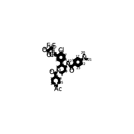 CC(=O)N1CCC(C(=O)N2CCC(N(C)C(=O)c3ccc(N(C)C)cc3)C(c3ccc(Cl)c(Cl)c3)C2)CC1.O=C(O)C(F)(F)F